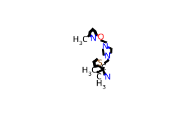 Cc1cccc(OCCN2CCN(CCCC(C#N)(c3cccs3)C(C)C)CC2)n1